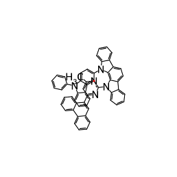 Cc1cc(-c2cc3ccccc3c3ccccc23)nc(-n2c3ccccc3c3ccc4c5ccccc5n(-c5ccc6c(c5)c5ccccc5n6-c5ccccc5)c4c32)n1